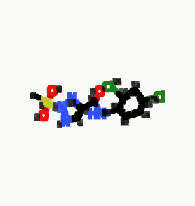 CS(=O)(=O)n1ncc(C(=O)Nc2ccc(Cl)cc2Cl)n1